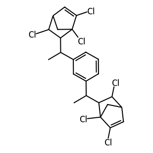 CC(c1cccc(C(C)C2C(Cl)C3C=C(Cl)C2(Cl)C3)c1)C1C(Cl)C2C=C(Cl)C1(Cl)C2